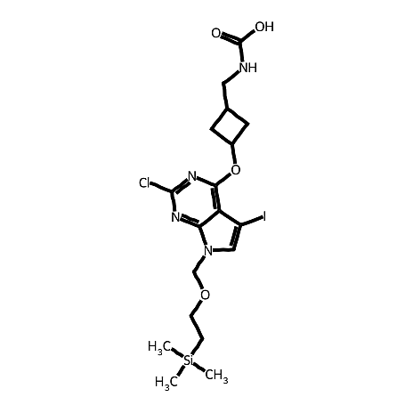 C[Si](C)(C)CCOCn1cc(I)c2c(OC3CC(CNC(=O)O)C3)nc(Cl)nc21